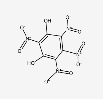 O=[N+]([O-])c1c(O)c([N+](=O)[O-])c([N+](=O)[O-])c([N+](=O)[O-])c1O